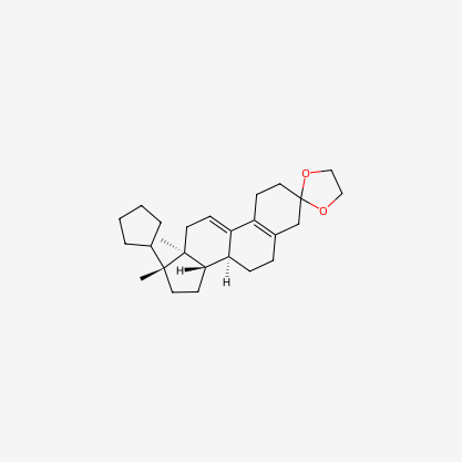 C[C@]12CC=C3C4=C(CC[C@H]3[C@@H]1CC[C@]2(C)C1CCCC1)CC1(CC4)OCCO1